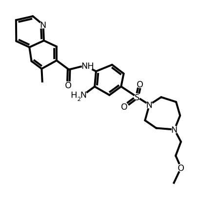 COCCN1CCCN(S(=O)(=O)c2ccc(NC(=O)c3cc4ncccc4cc3C)c(N)c2)CC1